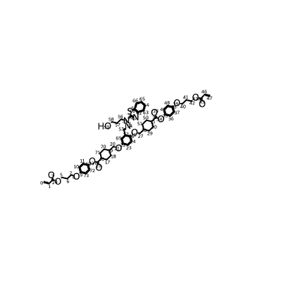 C=CC(=O)OCCCOc1ccc(OC(=O)C2CCC(COc3ccc(OCC4CCC(C(=O)Oc5ccc(OCCCOC(=O)C=C)cc5)CC4)c(/C=N/N(CCCO)c4nc5ccccc5s4)c3)CC2)cc1